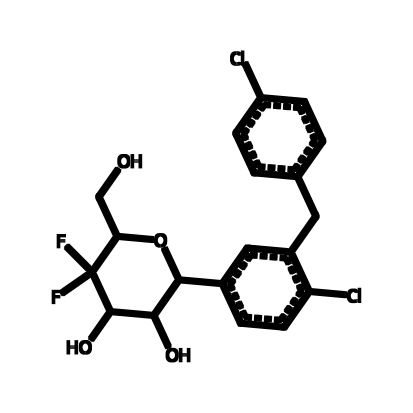 OCC1OC(c2ccc(Cl)c(Cc3ccc(Cl)cc3)c2)C(O)C(O)C1(F)F